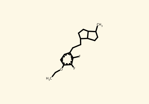 CCOc1ccc(CCC2CCC3C(C)CCC23)c(F)c1F